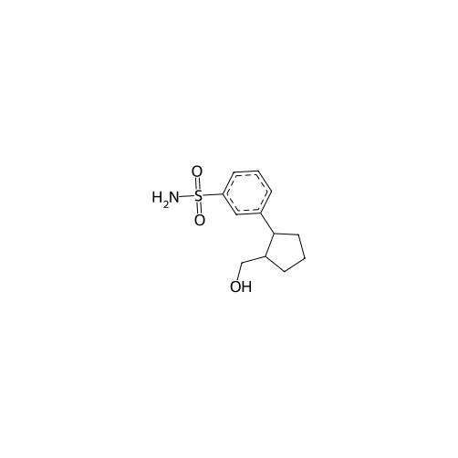 NS(=O)(=O)c1cccc(C2CCCC2CO)c1